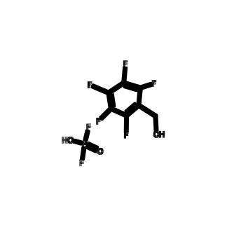 O=P(O)(F)F.OCc1c(F)c(F)c(F)c(F)c1F